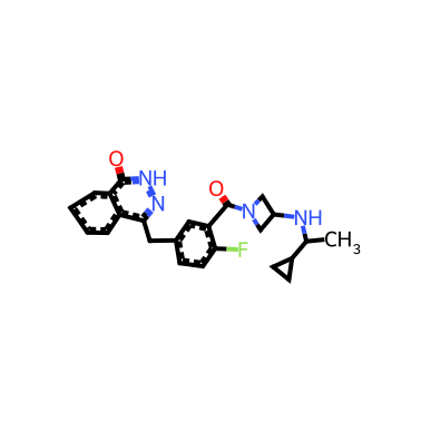 CC(NC1CN(C(=O)c2cc(Cc3n[nH]c(=O)c4ccccc34)ccc2F)C1)C1CC1